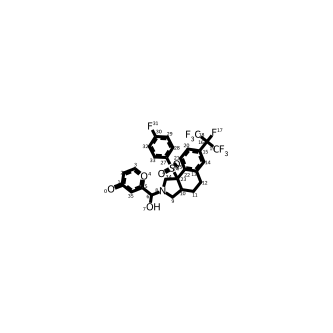 O=c1ccoc(C(O)N2CC3CCc4cc(C(F)(C(F)(F)F)C(F)(F)F)ccc4C3(S(=O)(=O)c3ccc(F)cc3)C2)c1